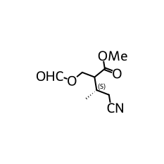 COC(=O)C(COC=O)[C@@H](C)CC#N